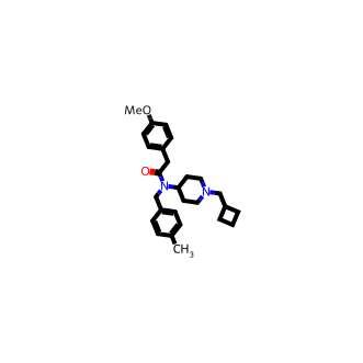 COc1ccc(CC(=O)N(Cc2ccc(C)cc2)C2CCN(CC3CCC3)CC2)cc1